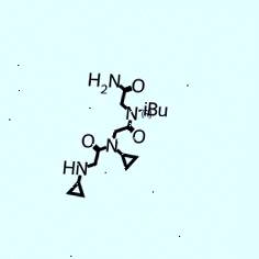 CC[C@@H](C)N(CC(N)=O)C(=O)CN(C(=O)CNC1CC1)C1CC1